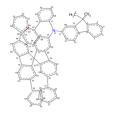 CC1(C)c2ccccc2-c2ccc(N(c3ccc4c(c3)-c3ccc(-c5ccccc5)cc3C43c4cc(-c5ccccc5)ccc4-c4ccc(-c5ccccc5)cc43)c3ccccc3-c3ccccc3)cc21